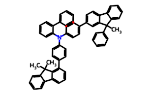 CC1(C)c2ccccc2-c2cccc(-c3ccc(N(c4ccc(-c5ccc6c(c5)C(C)(c5ccccc5)c5ccccc5-6)cc4)c4ccccc4-c4ccccc4)cc3)c21